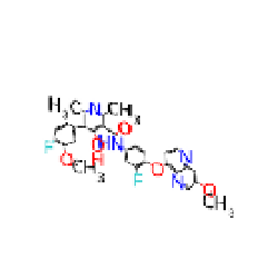 COc1cnc2c(Oc3ccc(NC(=O)c4c(C)nc(C)c(-c5ccc(F)c(OC)c5)c4O)cc3F)ccnc2c1